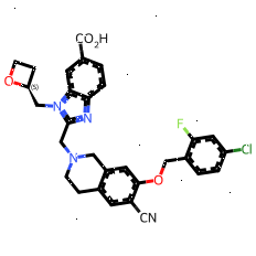 N#Cc1cc2c(cc1OCc1ccc(Cl)cc1F)CN(Cc1nc3ccc(C(=O)O)cc3n1C[C@@H]1CCO1)CC2